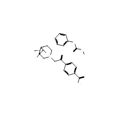 CC(C)(C)OC(=O)Nc1ccccc1.COC(=O)c1ccc(C(=O)C[N+]23CCC(CC2)[C@@H](OC(C)=O)C3)cc1.[Br-]